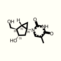 Cc1cn([C@]23C[C@H](O)[C@@H](CO)[C@@H]2C3)c(=O)[nH]c1=O